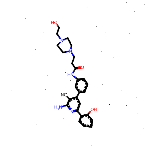 N#Cc1c(-c2cccc(NC(=O)CCN3CCN(CCO)CC3)c2)cc(-c2ccccc2O)nc1N